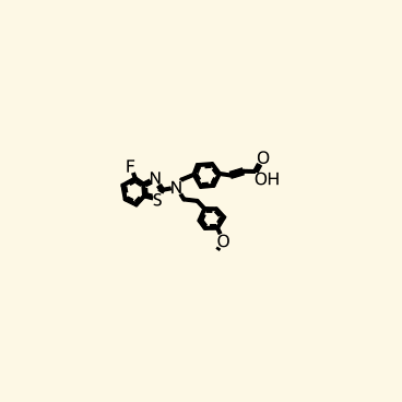 COc1ccc(CCN(Cc2ccc(C#CC(=O)O)cc2)c2nc3c(F)cccc3s2)cc1